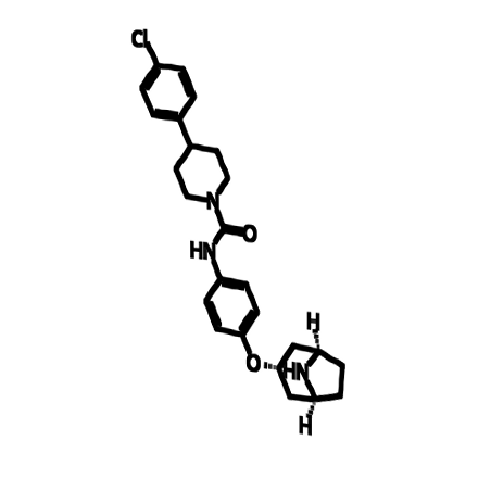 O=C(Nc1ccc(O[C@@H]2C[C@H]3CC[C@@H](C2)N3)cc1)N1CCC(c2ccc(Cl)cc2)CC1